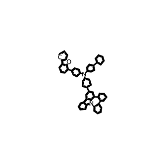 c1ccc(-c2ccc(N(c3ccc(-c4cc5c6c(c4)c4ccccc4n6-c4ccccc4-c4ccccc4-5)cc3)c3ccc(-c4cccc5c4oc4ccccc45)cc3)cc2)cc1